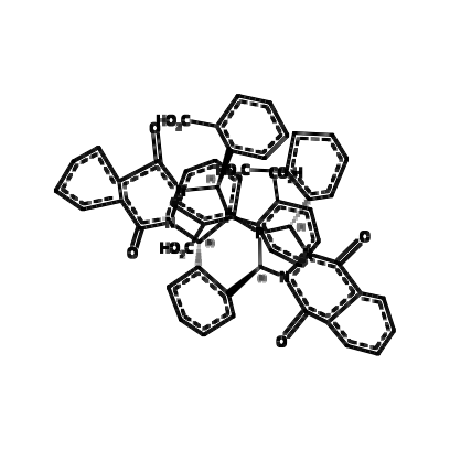 O=C(O)c1ccccc1[C@@H]1n2c(=O)c3ccccc3c(=O)n2[C@@H](c2ccccc2[C@@H]2n3c(=O)c4ccccc4c(=O)n3[C@@H](c3ccccc3C(=O)O)P2c2ccccc2C(=O)O)P1c1ccccc1C(=O)O